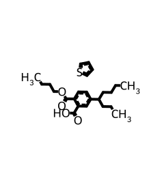 CCCCOC(=O)c1ccc(C(CCC)CCCC)cc1C(=O)O.c1ccsc1